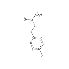 Cc1ccc(CCC(Cl)C(=O)O)cc1